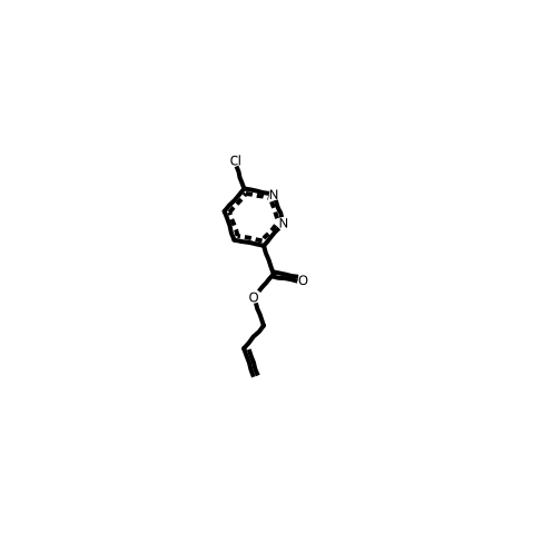 C=CCOC(=O)c1ccc(Cl)nn1